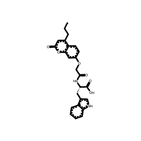 CCCc1cc(=O)oc2cc(OCC(=O)N[C@@H](Cc3c[nH]c4ccccc34)C(=O)O)ccc12